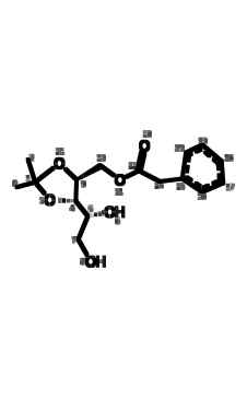 CC1(C)O[C@@H]([C@H](O)CO)[C@H](COC(=O)Cc2ccccc2)O1